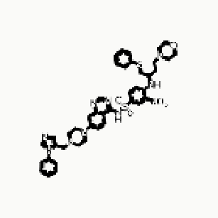 O=[N+]([O-])c1cc(S(=O)(=O)Nc2ncnc3cc(N4CCN(Cc5cncn5-c5ccccc5)CC4)ccc23)ccc1NC(CCN1CCOCC1)CSc1ccccc1